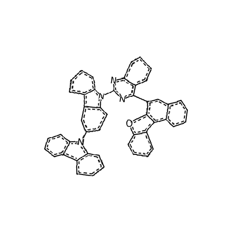 c1ccc2c(c1)cc(-c1nc(-n3c4ccccc4c4cc(-n5c6ccccc6c6ccccc65)ccc43)nc3ccccc13)c1oc3ccccc3c12